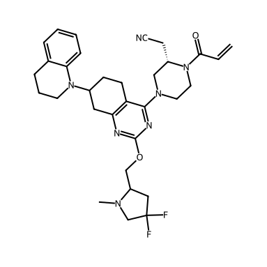 C=CC(=O)N1CCN(c2nc(OCC3CC(F)(F)CN3C)nc3c2CCC(N2CCCc4ccccc42)C3)C[C@@H]1CC#N